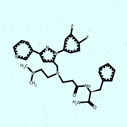 CN(C)CCN(CCC(=O)N[C@@H](Cc1ccccc1)C(N)=O)Cc1cc(-c2cccnc2)nn1-c1ccc(F)c(F)c1